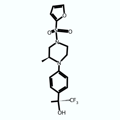 C[C@H]1CN(S(=O)(=O)c2ccco2)CCN1c1ccc([C@](C)(O)C(F)(F)F)cc1